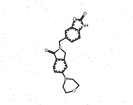 O=C1c2ccc(N3CCOCC3)cc2CN1Cc1ccc2[nH]c(=O)oc2c1